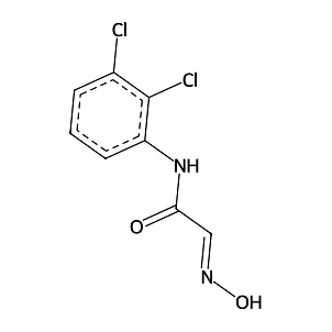 O=C(C=NO)Nc1cccc(Cl)c1Cl